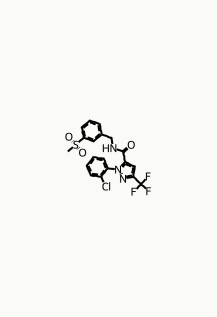 CS(=O)(=O)c1cccc(CNC(=O)c2cc(C(F)(F)F)nn2-c2ccccc2Cl)c1